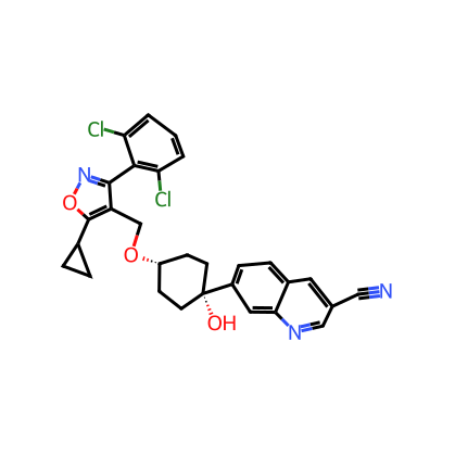 N#Cc1cnc2cc([C@]3(O)CC[C@@H](OCc4c(-c5c(Cl)cccc5Cl)noc4C4CC4)CC3)ccc2c1